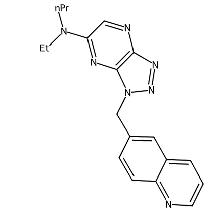 CCCN(CC)c1cnc2nnn(Cc3ccc4ncccc4c3)c2n1